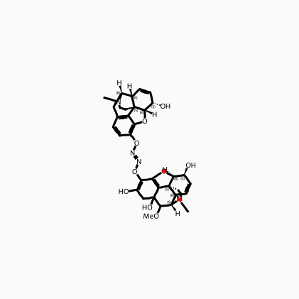 COC1[C@@H]2[C@@H]3C=C[C@H](O)[C@@H]4OC5=C(C1(O)CC(O)=C5ON=NOc1ccc5c6c1O[C@H]1[C@@H](O)C=C[C@H]7[C@@H](C5)N(C)CC[C@@]671)[C@]34CCN2C